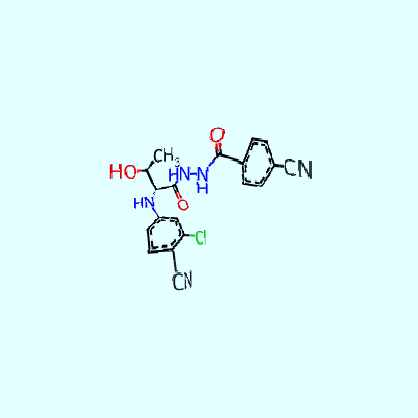 C[C@H](O)[C@@H](Nc1ccc(C#N)c(Cl)c1)C(=O)NNC(=O)c1ccc(C#N)cc1